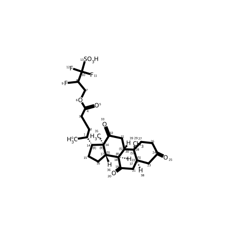 CC(CCC(=O)OCC(F)C(F)(F)S(=O)(=O)O)[C@H]1CC[C@H]2[C@@H]3C(=O)C[C@@H]4CC(=O)CC[C@]4(C)[C@H]3CC(=O)[C@]12C